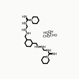 N=C(NCNNCC1CCCC(CNNCNC(=N)N2CCCCC2)C1)N1CCCCC1.O=CO.O=CO